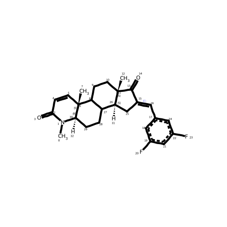 CN1C(=O)C=C[C@]2(C)C3CC[C@]4(C)C(=O)/C(=C/c5cc(F)cc(F)c5)C[C@H]4C3CC[C@@H]12